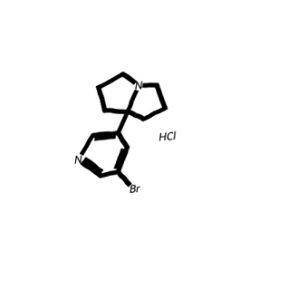 Brc1cncc(C23CCCN2CCC3)c1.Cl